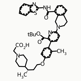 Cc1cc(OCC[C@H](C)C2CCN(CC(=O)O)CC2)ccc1-c1ccc(N2CCc3cccc(C(=O)Nc4nc5ccccc5s4)c3C2)nc1C(=O)OC(C)(C)C